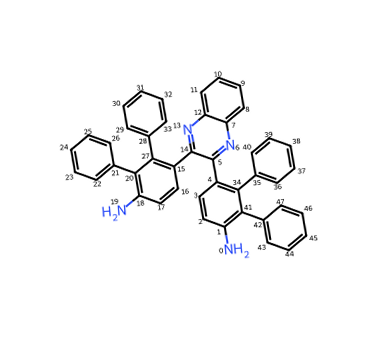 Nc1ccc(-c2nc3ccccc3nc2-c2ccc(N)c(-c3ccccc3)c2-c2ccccc2)c(-c2ccccc2)c1-c1ccccc1